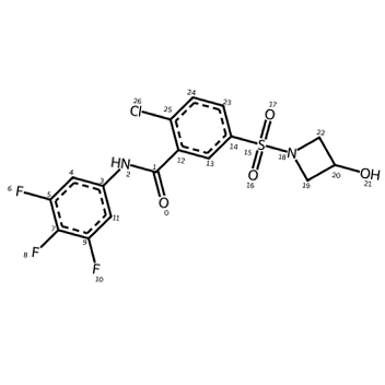 O=C(Nc1cc(F)c(F)c(F)c1)c1cc(S(=O)(=O)N2CC(O)C2)ccc1Cl